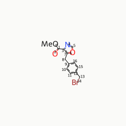 COC(=O)c1ncoc1Cc1ccc(CBr)cc1